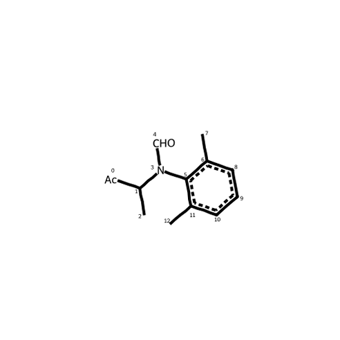 CC(=O)C(C)N(C=O)c1c(C)cccc1C